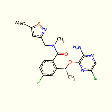 COc1cc(CN(C)C(=O)c2ccc(F)cc2[C@@H](C)Oc2nc(Br)cnc2N)ns1